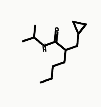 CCCCC(CC1CC1)C(=O)NC(C)C